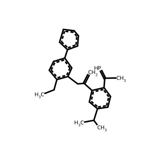 C=C(Cc1cc(-c2ccccc2)ccc1CC)c1cc(C(C)C)ccc1C(C)=P